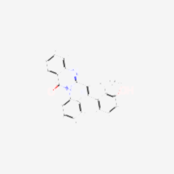 COc1c(O)cccc1/C=C/c1nc2ccccc2c(=O)n1-c1ccccc1